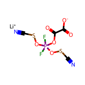 N#CSOP(F)(F)(OSC#N)OC(=O)C(=O)[O-].[Li+]